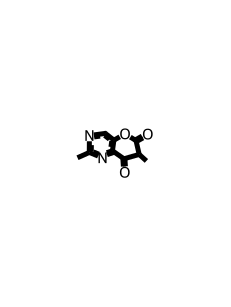 Cc1ncc2c(n1)C(=O)C(C)C(=O)O2